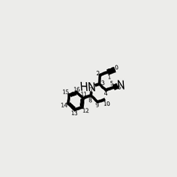 C#CCC(CC#N)NC(CC)c1ccccc1